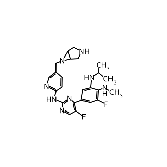 CNc1c(F)cc(-c2nc(Nc3ccc(CN4C5CNCC54)cn3)ncc2F)cc1NC(C)C